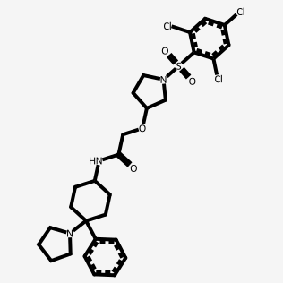 O=C(COC1CCN(S(=O)(=O)c2c(Cl)cc(Cl)cc2Cl)C1)NC1CCC(c2ccccc2)(N2CCCC2)CC1